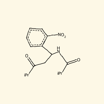 CC(C)C(=O)CC(NC(=O)C(C)C)c1ccccc1[N+](=O)[O-]